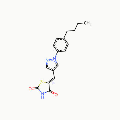 CCCCc1ccc(-n2cc(/C=C3\SC(=O)NC3=O)cn2)cc1